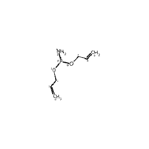 C=CCOP(N)OCC=C